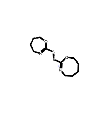 C1CC/N=C(/SSC2=NCCCCO2)OCC1